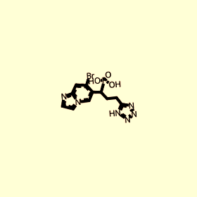 O=P(O)(O)C(CCc1nnn[nH]1)c1cn2ccnc2cc1Br